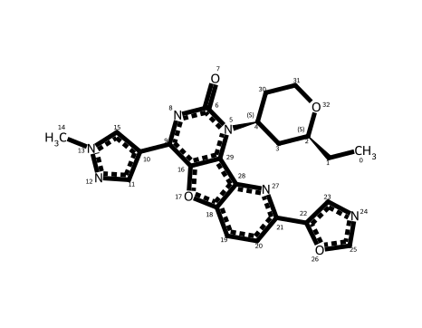 CC[C@H]1C[C@@H](n2c(=O)nc(-c3cnn(C)c3)c3oc4ccc(-c5cnco5)nc4c32)CCO1